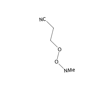 CNOOCCC#N